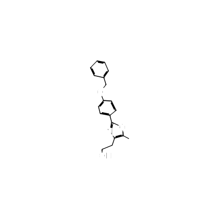 Cc1oc(-c2ccc(OCc3ccccc3)cc2)nc1CCO